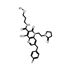 CC(C)OCCCNC(=O)c1c(O)c2ncc(Cc3ccc(F)cc3)cc2n(CCN2CCCC2=O)c1=O